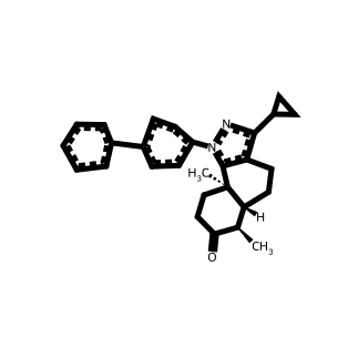 C[C@H]1C(=O)CC[C@@]2(C)c3c(c(C4CC4)nn3-c3ccc(-c4ccccc4)cc3)CC[C@H]12